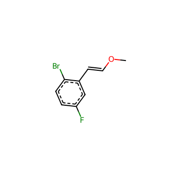 CO/C=C/c1cc(F)ccc1Br